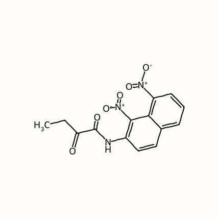 CCC(=O)C(=O)Nc1ccc2cccc([N+](=O)[O-])c2c1[N+](=O)[O-]